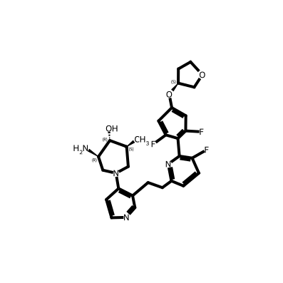 C[C@H]1CN(c2ccncc2CCc2ccc(F)c(-c3c(F)cc(O[C@H]4CCOC4)cc3F)n2)C[C@@H](N)[C@@H]1O